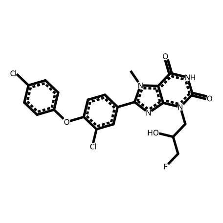 Cn1c(-c2ccc(Oc3ccc(Cl)cc3)c(Cl)c2)nc2c1c(=O)[nH]c(=O)n2CC(O)CF